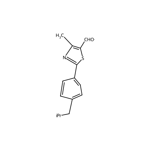 Cc1nc(-c2ccc(CC(C)C)cc2)sc1[C]=O